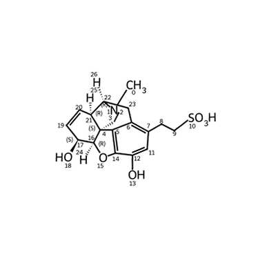 CN1CC[C@]23c4c5c(CCS(=O)(=O)O)cc(O)c4O[C@H]2[C@@H](O)C=C[C@H]3[C@H]1C5